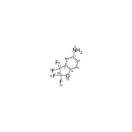 Nc1ccc2c(c1)C(F)(F)C(F)(F)O2